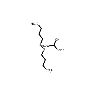 CCCCCCCCCC(O)CCCCCCCCC.O=C(O)CCCSSCCCC(=O)O